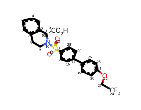 O=C(O)[C@H]1c2ccccc2CCN1S(=O)(=O)c1ccc(-c2ccc(OCC(F)(F)F)cc2)cc1